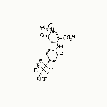 Cn1cc(C(=O)O)c(Nc2ccc(C(F)(F)C(F)(F)C(F)(F)C(F)(F)F)cc2F)cc1=O